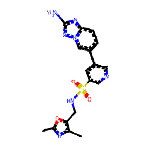 Cc1nc(C)c(CNS(=O)(=O)c2cncc(-c3ccc4nc(N)nn4c3)c2)o1